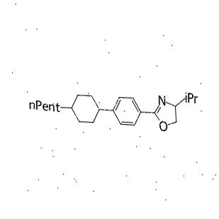 CCCCCC1CCC(c2ccc(C3=NC(C(C)C)CO3)cc2)CC1